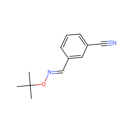 CC(C)(C)O/N=[C]/c1cccc(C#N)c1